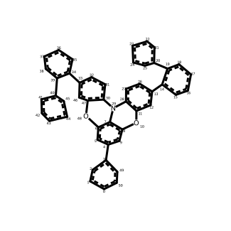 c1ccc(-c2cc3c4c(c2)Oc2cc(-c5ccccc5-c5ccccc5)ccc2N4c2ccc(-c4ccccc4-c4ccccc4)cc2O3)cc1